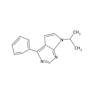 CC(C)n1ccc2c(-c3ccccc3)ncnc21